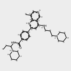 CCC(NC(=O)c1ccc(-c2cc(NCCCN3CCCCC3)c3cncc(C)c3n2)cc1)N1CCCCC1